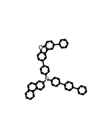 c1ccc(-c2ccc(-c3ccc(N(c4ccc(-c5ccc6oc7ccc(-c8ccccc8)cc7c6c5)cc4)c4ccc5c(ccc6ccccc65)c4)cc3)cc2)cc1